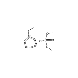 CC[n+]1ccccc1.COP(=O)([O-])OC